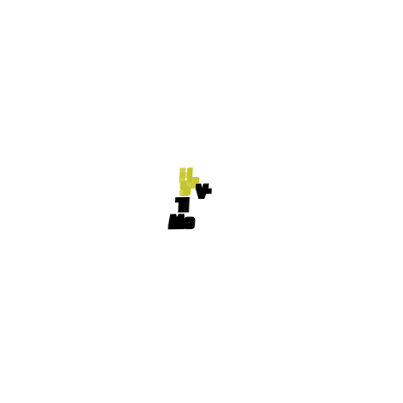 S.[Mo].[Ti].[V]